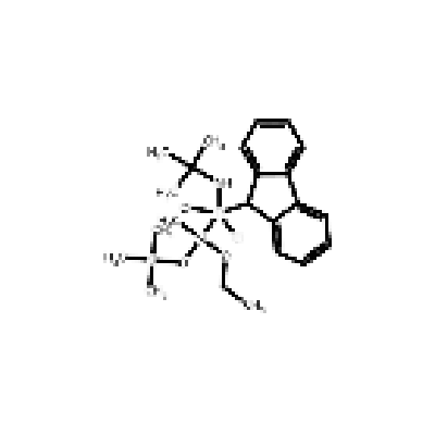 CCO[Si](C)(O[Si](C)(C)C)[Ti]([Cl])([Cl])([NH]C(C)(C)C)[CH]1c2ccccc2-c2ccccc21